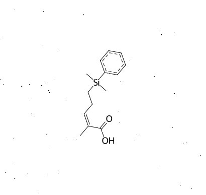 CC(=CCC[Si](C)(C)c1ccccc1)C(=O)O